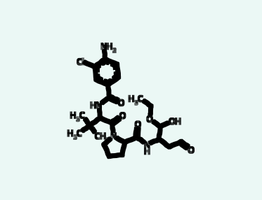 CCOC(O)C(CC=O)NC(=O)C1CCCN1C(=O)C(NC(=O)c1ccc(N)c(Cl)c1)C(C)(C)C